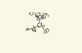 CC(C)c1cnc(-c2cc(OCC3CCCO3)cc(C(=O)N[C@H](C)c3ccc(C(F)(F)F)nn3)c2)s1